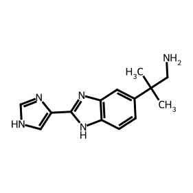 CC(C)(CN)c1ccc2[nH]c(-c3c[nH]cn3)nc2c1